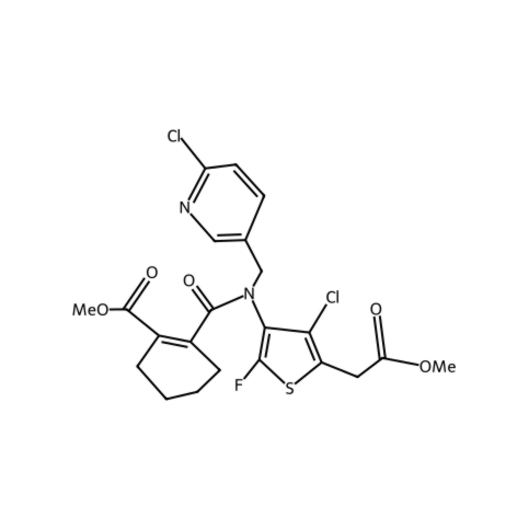 COC(=O)Cc1sc(F)c(N(Cc2ccc(Cl)nc2)C(=O)C2=C(C(=O)OC)CCCC2)c1Cl